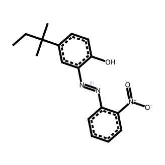 CCC(C)(C)c1ccc(O)c(/N=N/c2ccccc2[N+](=O)[O-])c1